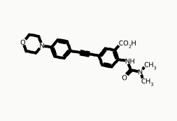 CN(C)C(=O)Nc1ccc(C#Cc2ccc(N3CCOCC3)cc2)cc1C(=O)O